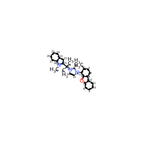 Cc1ccc2c(oc3ccccc32)c1N1C=CN(C(C)(C)c2cc3ccccc3n2C)[C@@H]1C